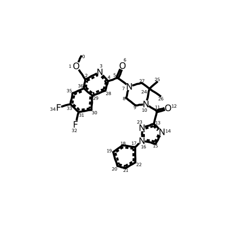 COc1nc(C(=O)N2CCN(C(=O)c3ncn(-c4ccccc4)n3)C(C)(C)C2)cc2cc(F)c(F)cc12